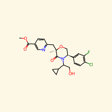 COC(=O)c1ccc(C[C@@]2(C)OC[C@@H](c3ccc(Cl)c(F)c3)N(C(CO)C3CC3)C2=O)nc1